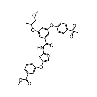 COC[C@H](C)Oc1cc(Oc2ccc(S(C)(=O)=O)cc2)cc(C(=O)Nc2ncc(Oc3cccc(C(=O)OC)c3)s2)c1